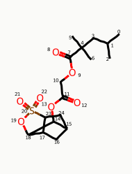 CC(C)CC(C)(C)C(=O)OCC(=O)OC1C2CC3C1OS(=O)(=O)C3C2